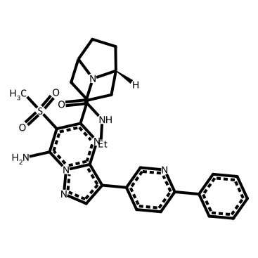 CCNC(=O)N1C2CC[C@@H]1CC(c1nc3c(-c4ccc(-c5ccccc5)nc4)cnn3c(N)c1S(C)(=O)=O)C2